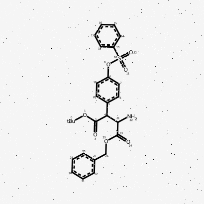 CC(C)(C)OC(=O)C(c1ccc(OS(=O)(=O)c2ccccc2)cc1)C(N)C(=O)OCc1ccccc1